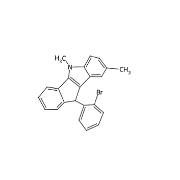 Cc1ccc2c(c1)c1c(n2C)-c2ccccc2C1c1ccccc1Br